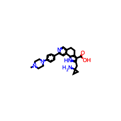 CN1CCN(c2ccc(-c3cc4c(cn3)CCc3c-4[nH]c(CC4(N)CC4)c3C(=O)O)cc2)CC1